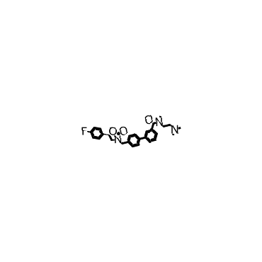 CN(C)CCN(C)C(=O)c1cccc(-c2ccc(CN3C[C@@H](c4ccc(F)cc4)OC3=O)cc2)c1